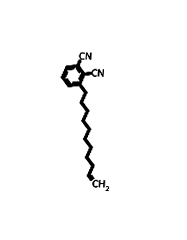 C=CCCCCCCCCCc1cccc(C#N)c1C#N